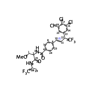 COCC(NC(=O)c1ccc(/C=C/C(c2cc(Cl)c(Cl)c(Cl)c2)C(F)(F)F)cc1)C(=O)NC(C)C(F)(F)F